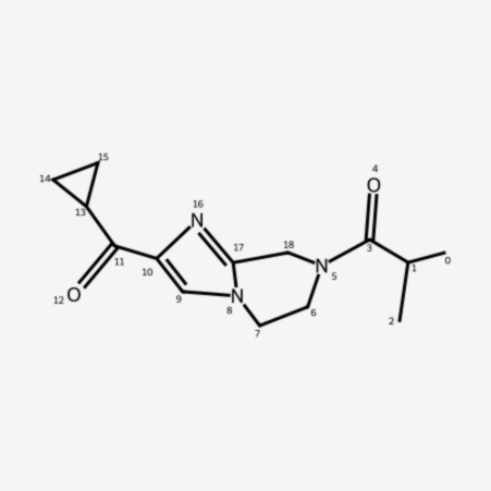 CC(C)C(=O)N1CCn2cc(C(=O)C3CC3)nc2C1